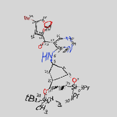 CC(C)[Si](O[C@H]1C[C@H](Nc2ncncc2C(=O)c2cc(Br)co2)C[C@@H]1CO[Si](C)(C)C(C)(C)C)(C(C)C)C(C)C